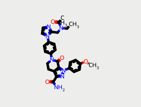 CCN(Cc1nccn1-c1ccc(N2CCc3c(C(N)=O)nn(-c4ccc(OC)cc4)c3C2=O)cc1)C(C)=O